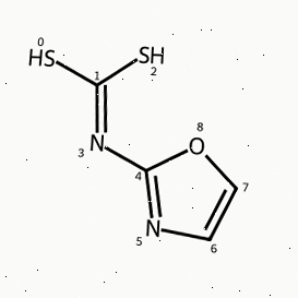 SC(S)=Nc1ncco1